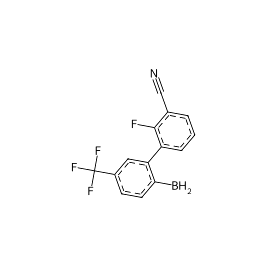 Bc1ccc(C(F)(F)F)cc1-c1cccc(C#N)c1F